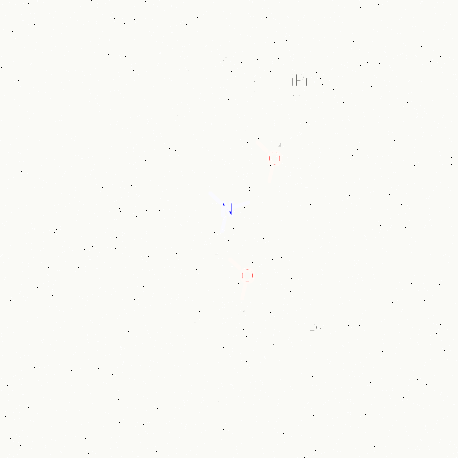 CC1CCC(C(C)C)C(OC(C)N(C)C(C)OC2CC(C)CCC2C(C)C)C1